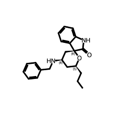 CCC[C@H]1C[C@@H](NCc2ccccc2)C[C@]2(O1)C(=O)Nc1ccccc12